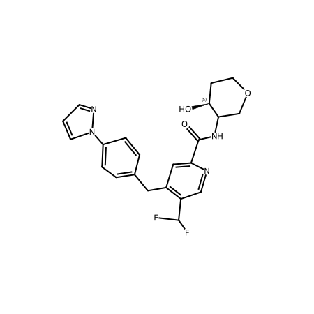 O=C(NC1COCC[C@@H]1O)c1cc(Cc2ccc(-n3cccn3)cc2)c(C(F)F)cn1